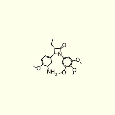 CC[C@H]1C(=O)N(c2cc(OC)c(OC)c(OC)c2)[C@H]1C1=CC=C(OC)C(N)C1